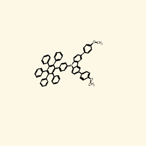 COc1ccc(-c2ccc3c(c2)c2cc(-c4ccc(OC)cc4)ccc2n3-c2ccc(-c3c(-c4ccccc4)c(-c4ccccc4)c(-c4ccccc4)c(-c4ccccc4)c3-c3ccccc3)cc2)cc1